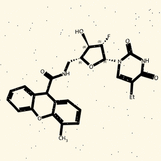 CCc1cn([C@@H]2O[C@H](CNC(=O)C3c4ccccc4Oc4c(C)cccc43)[C@@H](O)[C@@H]2F)c(=O)[nH]c1=O